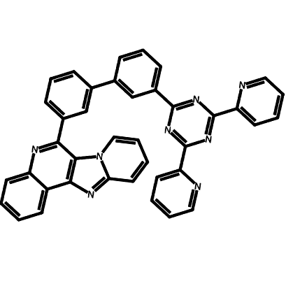 c1ccc(-c2nc(-c3cccc(-c4cccc(-c5nc6ccccc6c6nc7ccccn7c56)c4)c3)nc(-c3ccccn3)n2)nc1